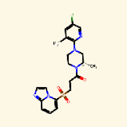 Cc1cc(Cl)cnc1N1CCN(C(=O)CCS(=O)(=O)c2cccc3nccn23)[C@@H](C)C1